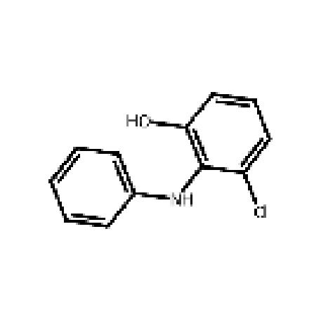 Oc1cccc(Cl)c1Nc1ccccc1